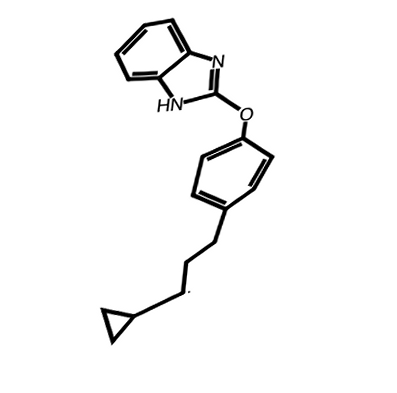 [CH](CCc1ccc(Oc2nc3ccccc3[nH]2)cc1)C1CC1